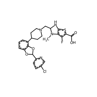 CN1c2c(sc(C(=O)O)c2F)NC1CN1CCC(c2cccc3c2OC(c2ccc(Cl)cn2)O3)CC1